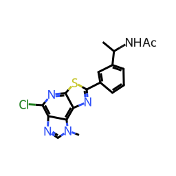 CC(=O)NC(C)c1cccc(-c2nc3c(nc(Cl)c4ncn(C)c43)s2)c1